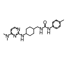 Cc1ccc(NC(=O)NCC2CCC(Nc3nccc(N(C)C)n3)CC2)cc1